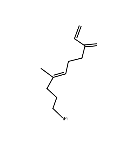 C=CC(=C)CCC=C(C)CCCC(C)C